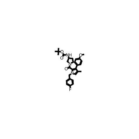 COc1ccc(-c2c(C)cn(Cc3ccc(F)cc3)c2C(=O)N2CCC(NC(=O)OC(C)(C)C)C2)cc1